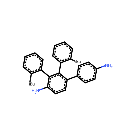 CCC(C)c1ccccc1-c1c(N)ccc(-c2ccc(N)cc2)c1-c1ccccc1C(C)CC